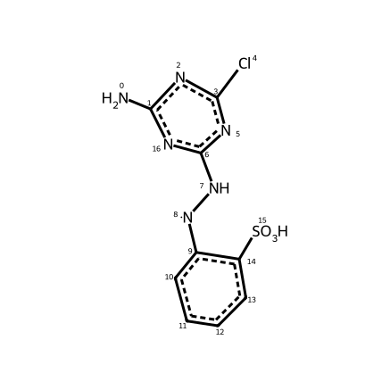 Nc1nc(Cl)nc(N[N]c2ccccc2S(=O)(=O)O)n1